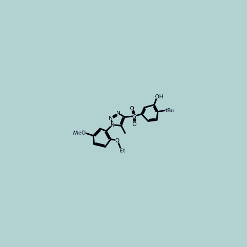 CCOc1ccc(OC)cc1-n1nnc(S(=O)(=O)c2ccc(C(C)(C)C)c(O)c2)c1C